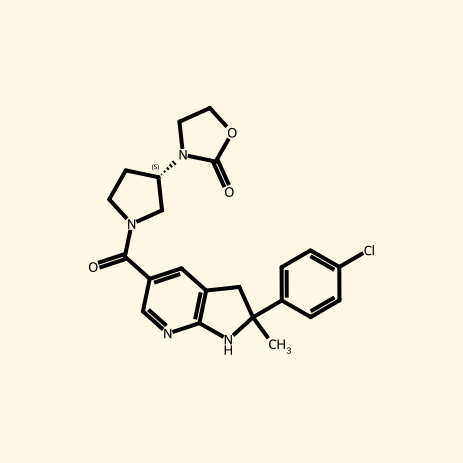 CC1(c2ccc(Cl)cc2)Cc2cc(C(=O)N3CC[C@H](N4CCOC4=O)C3)cnc2N1